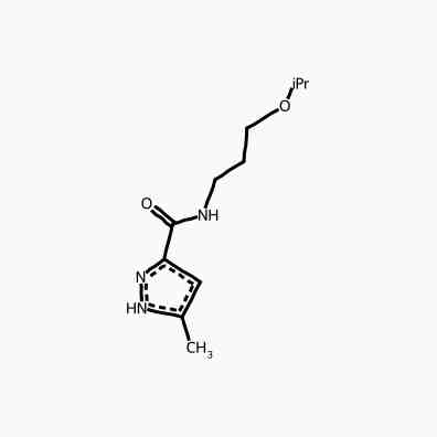 Cc1cc(C(=O)NCCCOC(C)C)n[nH]1